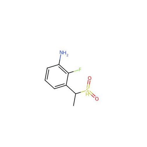 CC(c1cccc(N)c1F)[SH](=O)=O